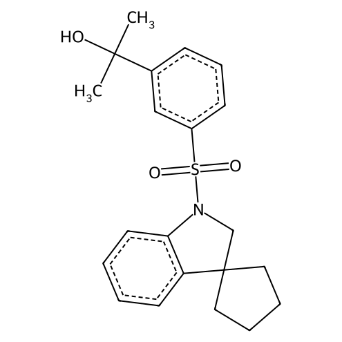 CC(C)(O)c1cccc(S(=O)(=O)N2CC3(CCCC3)c3ccccc32)c1